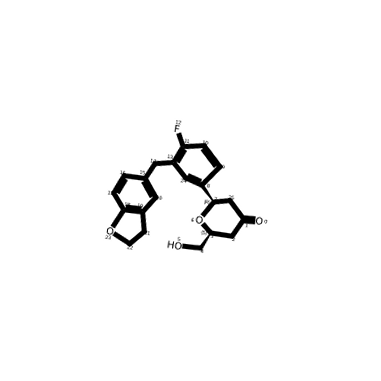 O=C1C[C@@H](CO)O[C@@H](c2ccc(F)c(Cc3ccc4c(c3)CCO4)c2)C1